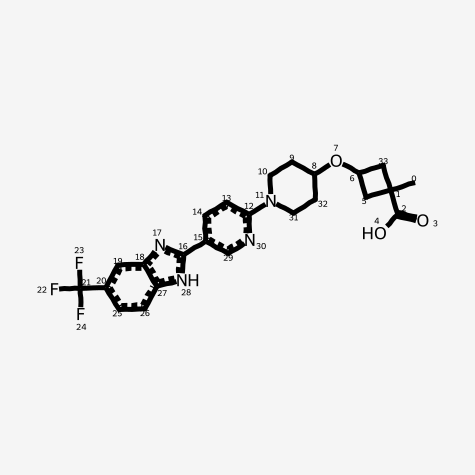 CC1(C(=O)O)CC(OC2CCN(c3ccc(-c4nc5cc(C(F)(F)F)ccc5[nH]4)cn3)CC2)C1